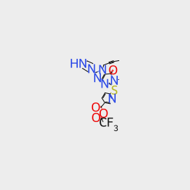 CC#CCn1c(N2CCNCC2)nc2nc(Sc3ccc(C(=O)OC(=O)C(F)(F)F)cn3)n(C)c(=O)c21